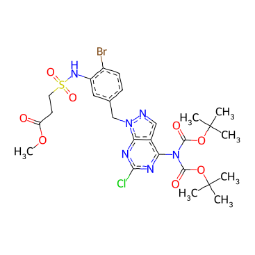 COC(=O)CCS(=O)(=O)Nc1cc(Cn2ncc3c(N(C(=O)OC(C)(C)C)C(=O)OC(C)(C)C)nc(Cl)nc32)ccc1Br